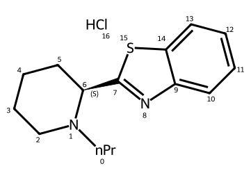 CCCN1CCCC[C@H]1c1nc2ccccc2s1.Cl